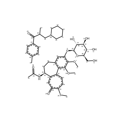 COc1c(O[C@@H]2O[C@H](CO)[C@@H](O)[C@H](O)[C@H]2O)cc2c(c1OC)-c1ccc(SC)c(=O)cc1[C@@H](NC(C)=O)CC2.Cc1ccc(C(=O)C(C)CN2CCCCC2)cc1